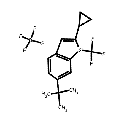 CC(C)(C)c1ccc2cc(C3CC3)[s+](C(F)(F)F)c2c1.F[B-](F)(F)F